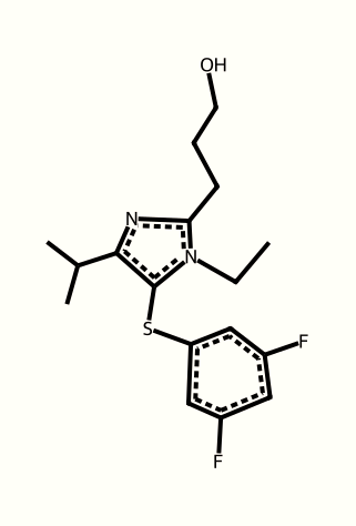 CCn1c(CCCO)nc(C(C)C)c1Sc1cc(F)cc(F)c1